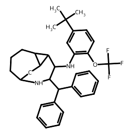 CC(C)(C)c1ccc(OC(F)(F)F)c(NC2C(C(c3ccccc3)c3ccccc3)NC3CCCC4C(C3)C42)c1